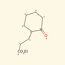 CCOC(=O)CCC1CCCCC1=O